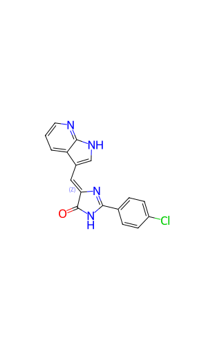 O=C1NC(c2ccc(Cl)cc2)=N/C1=C\c1c[nH]c2ncccc12